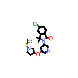 CCSN1CCC(Oc2cncc(N3C(=O)c4ccc(Cl)cc4C3(C)C)c2)C1